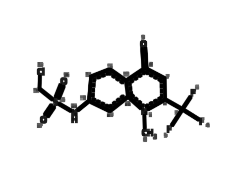 Cn1c(C(F)(F)F)cc(=O)c2ccc(NS(=O)(=O)CCl)cc21